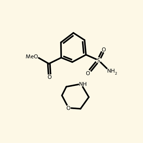 C1COCCN1.COC(=O)c1cccc(S(N)(=O)=O)c1